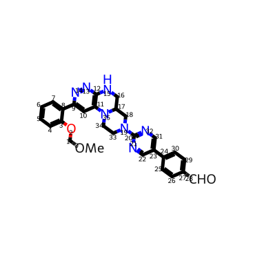 COCOc1ccccc1-c1cc2c(nn1)NCC1CN(c3ncc(-c4ccc(C=O)cc4)cn3)CCN21